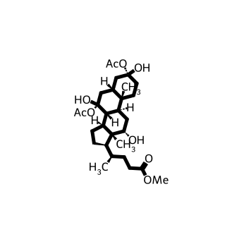 COC(=O)CC[C@@H](C)[C@H]1CC[C@H]2[C@H]3[C@H](C[C@H](O)[C@]12C)[C@@]1(C)CC[C@@](O)(OC(C)=O)C[C@H]1C[C@@]3(O)OC(C)=O